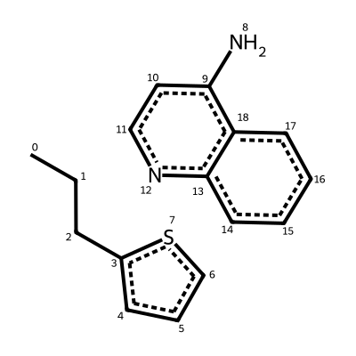 CCCc1cccs1.Nc1ccnc2ccccc12